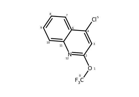 FC(F)(F)Oc1cc(Cl)c2ccccc2n1